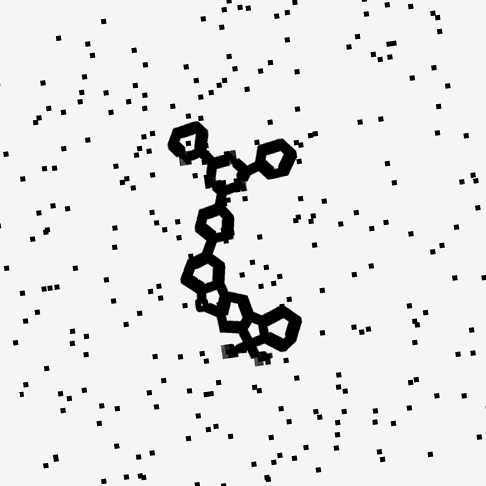 CC(C)C1(C(C)C)c2ccccc2-c2cc3c(cc21)oc1ccc(-c2ccc(-c4nc(-c5ccccc5)nc(-c5ccccn5)n4)cc2)cc13